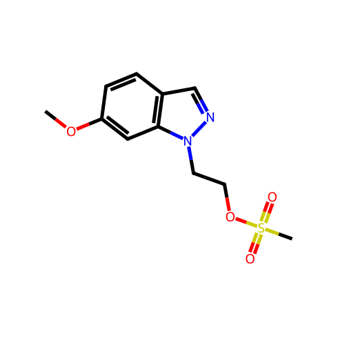 COc1ccc2cnn(CCOS(C)(=O)=O)c2c1